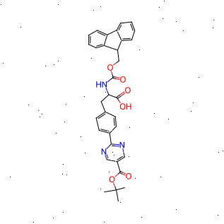 CC(C)(C)OC(=O)c1cnc(-c2ccc(CC(NC(=O)OCC3c4ccccc4-c4ccccc43)C(=O)O)cc2)nc1